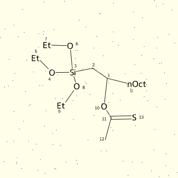 CCCCCCCCC(C[Si](OCC)(OCC)OCC)OC(C)=S